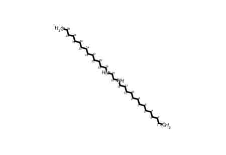 CCCCCCCCCCCCCCNCCNCCCCCCCCCCCCCC